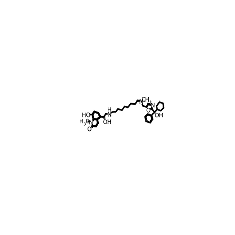 CN(CCCCCCCCCNC[C@H](O)c1ccc(O)c2c1ccc(=O)n2C)Cc1cnc(C(O)(c2ccccc2)C2CCCCC2)o1